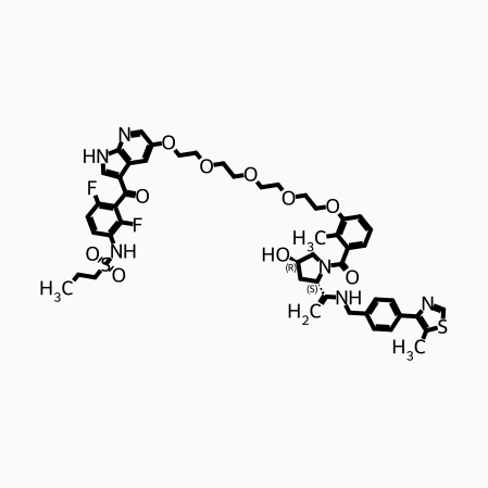 C=C(NCc1ccc(-c2ncsc2C)cc1)[C@@H]1C[C@@H](O)CN1C(=O)c1cccc(OCCOCCOCCOCCOc2cnc3[nH]cc(C(=O)c4c(F)ccc(NS(=O)(=O)CCC)c4F)c3c2)c1C